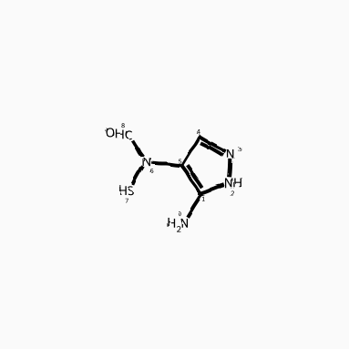 Nc1[nH]ncc1N(S)C=O